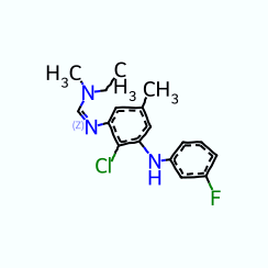 CCN(C)/C=N\c1cc(C)cc(Nc2cccc(F)c2)c1Cl